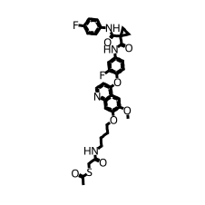 COc1cc2c(Oc3ccc(NC(=O)C4(C(=O)Nc5ccc(F)cc5)CC4)cc3F)ccnc2cc1OCCCCNC(=O)CSC(C)=O